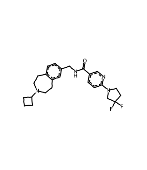 O=C(NCc1ccc2c(c1)CCN(C1CCC1)CC2)c1ccc(N2CCC(F)(F)C2)nc1